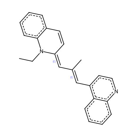 CCN1/C(=C/C(C)=C/c2ccnc3ccccc23)C=Cc2ccccc21